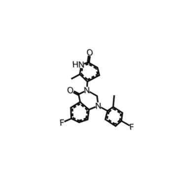 Cc1cc(F)ccc1N1CN(c2ccc(=O)[nH]c2C)C(=O)c2cc(F)ccc21